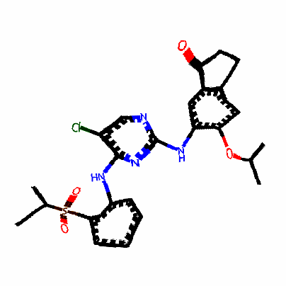 CC(C)Oc1cc2c(cc1Nc1ncc(Cl)c(Nc3ccccc3S(=O)(=O)C(C)C)n1)C(=O)CC2